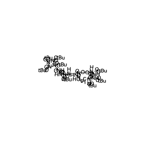 CC(C)(C)OC(=O)CC[C@@H](NC(=O)COCCOCCNC(=O)[C@@H](CCCCNC(=O)CNC(=O)[C@H](CC(=O)OC(C)(C)C)NC(=O)CNC(=O)CC[C@H](C(=O)OC(C)(C)C)N1CCN(CC(=O)OC(C)(C)C)CCN(CC(=O)OC(C)(C)C)CCN(CC(=O)OC(C)(C)C)CC1)NC(=O)CCCc1ccc(I)cc1)C(=O)N[C@H](CCC(=O)OC(C)(C)C)C(=O)N[C@H](CCC(=O)OC(C)(C)C)C(=O)NCCC(=O)O